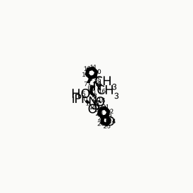 CC(C)CN(C[C@@H](O)[C@H](Cc1ccccc1)N(C)C)S(=O)(=O)c1ccc2occc2c1